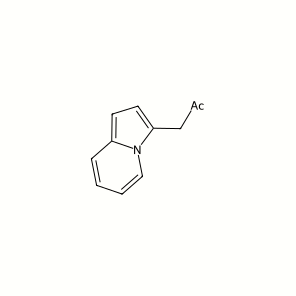 CC(=O)Cc1ccc2ccccn12